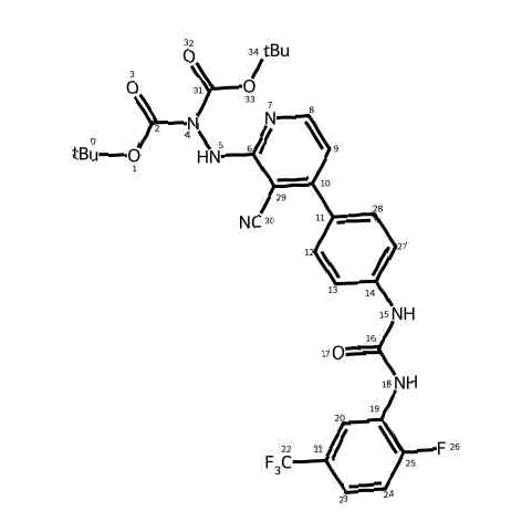 CC(C)(C)OC(=O)N(Nc1nccc(-c2ccc(NC(=O)Nc3cc(C(F)(F)F)ccc3F)cc2)c1C#N)C(=O)OC(C)(C)C